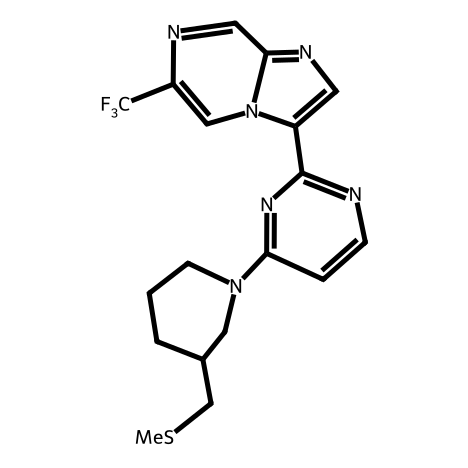 CSCC1CCCN(c2ccnc(-c3cnc4cnc(C(F)(F)F)cn34)n2)C1